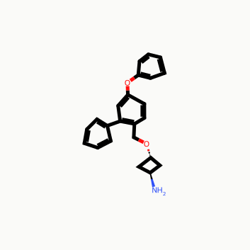 N[C@H]1C[C@H](OCc2ccc(Oc3ccccc3)cc2-c2ccccc2)C1